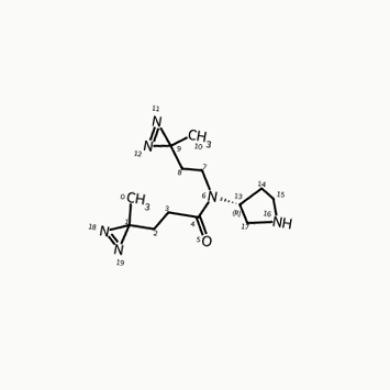 CC1(CCC(=O)N(CCC2(C)N=N2)[C@@H]2CCNC2)N=N1